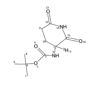 [2H]C1(NC(=O)OC(C)(C)C)CCC(=O)NC1=O